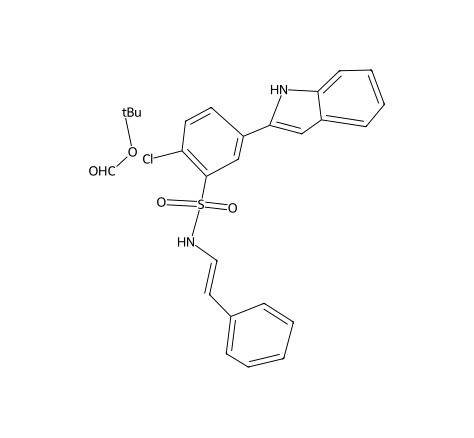 CC(C)(C)OC=O.O=S(=O)(NC=Cc1ccccc1)c1cc(-c2cc3ccccc3[nH]2)ccc1Cl